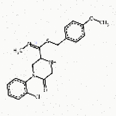 C/N=C(/SCc1ccc(OC)cc1)C1CN(c2ccccc2Cl)C(=O)CN1